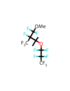 COC(F)(F)C(F)(C(F)(F)F)C(C)(C)OC(F)(F)C(F)(F)C(F)(F)F